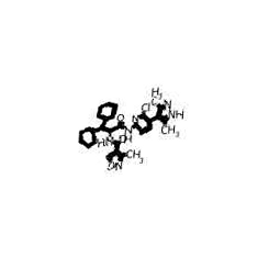 Cc1nocc1C(=O)N[C@H](C(=O)Nc1ccc(-c2c(C)n[nH]c2C)c(Cl)n1)C(C1CCCCC1)C1CCCCC1